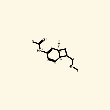 CNCC1C[C@@H]2C=C(NC(C)=S)C=CC12